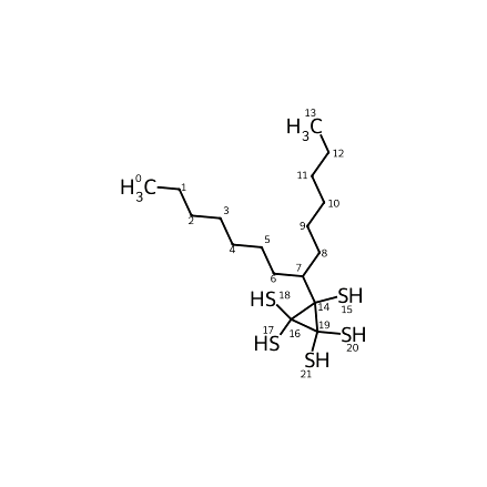 CCCCCCCC(CCCCCC)C1(S)C(S)(S)C1(S)S